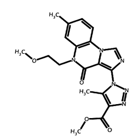 COCCn1c(=O)c2c(-n3nnc(C(=O)OC)c3C)ncn2c2ccc(C)cc21